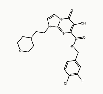 O=C(NCc1ccc(Cl)c(Cl)c1)c1nc2n(CCN3CCOCC3)ccn2c(=O)c1O